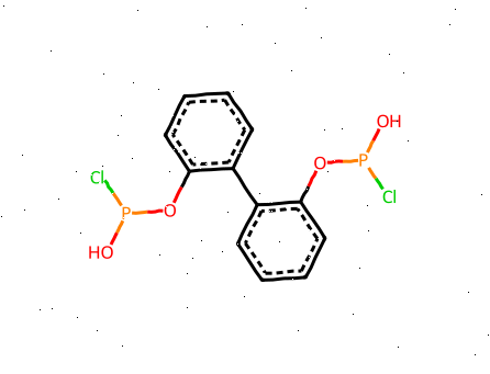 OP(Cl)Oc1ccccc1-c1ccccc1OP(O)Cl